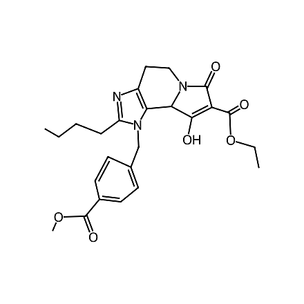 CCCCc1nc2c(n1Cc1ccc(C(=O)OC)cc1)C1C(O)=C(C(=O)OCC)C(=O)N1CC2